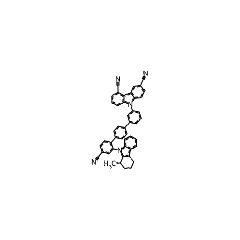 CC1CCCc2c1n(-c1cc(C#N)ccc1-c1ccc(-c3cccc(-n4c5ccc(C#N)cc5c5c(C#N)cccc54)c3)cc1)c1ccccc21